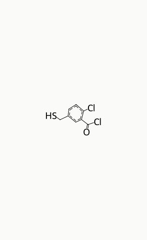 O=C(Cl)c1cc(CS)ccc1Cl